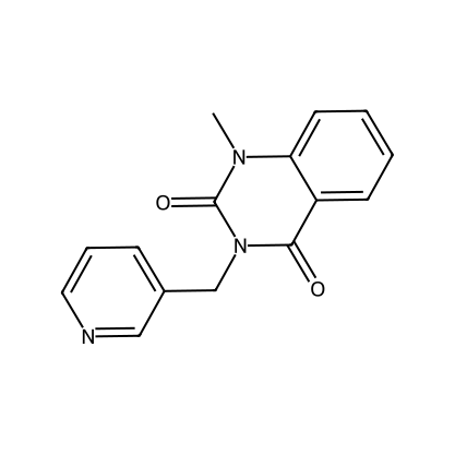 Cn1c(=O)n(Cc2cccnc2)c(=O)c2ccccc21